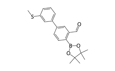 CSc1cccc(-c2ccc(B3OC(C)(C)C(C)(C)O3)c(C=O)c2)c1